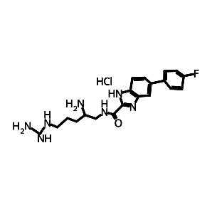 Cl.N=C(N)NCCCC(N)CNC(=O)c1nc2cc(-c3ccc(F)cc3)ccc2[nH]1